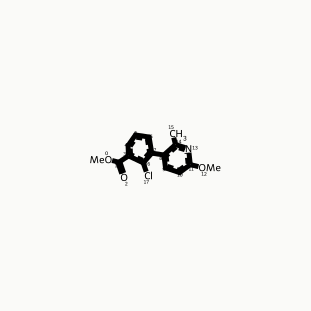 COC(=O)c1cccc(-c2ccc(OC)nc2C)c1Cl